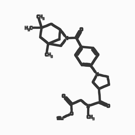 CN(CC(=O)OC(C)(C)C)C(=O)C1CCN(c2ccc(C(=O)N3CC4(C)CC3CC(C)(C)C4)cc2)C1